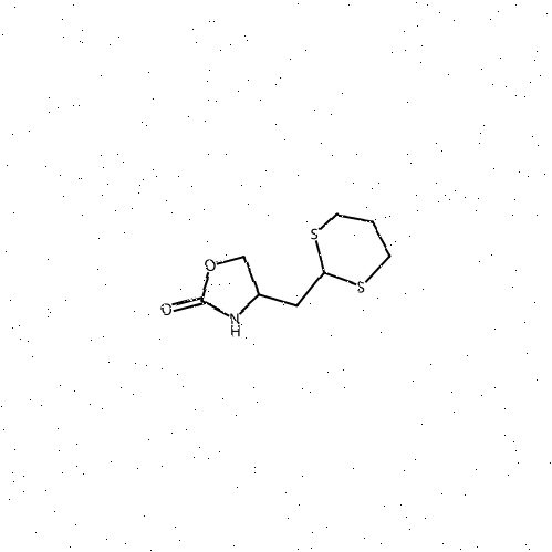 O=C1NC(CC2SCCCS2)CO1